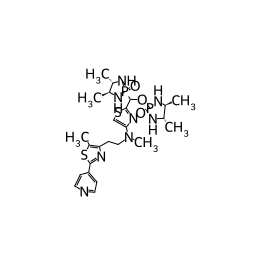 Cc1sc(-c2ccncc2)nc1CCN(C)c1csc(C(OP2(=O)N[C@@H](C)[C@H](C)N2)P2(=O)N[C@@H](C)[C@H](C)N2)n1